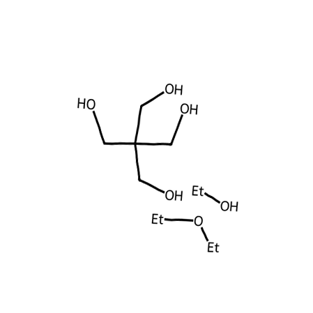 CCO.CCOCC.OCC(CO)(CO)CO